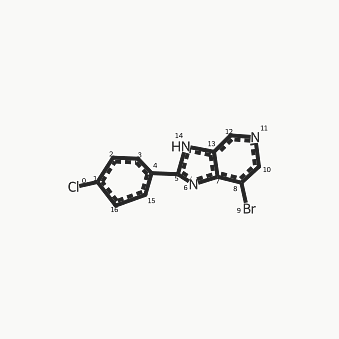 Clc1ccc(-c2nc3c(Br)cncc3[nH]2)cc1